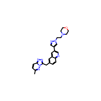 Cc1ccc2nnc(Cc3ccc4ncc(-c5cnn(CCN6CCOCC6)c5)cc4c3)n2n1